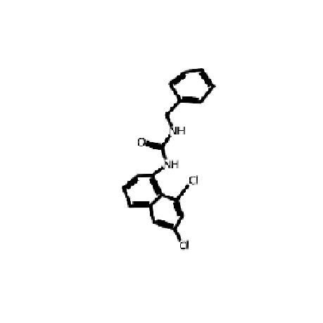 O=C(NCc1ccccc1)Nc1cccc2cc(Cl)cc(Cl)c12